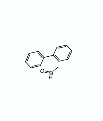 C[SiH]=O.c1ccc(-c2ccccc2)cc1